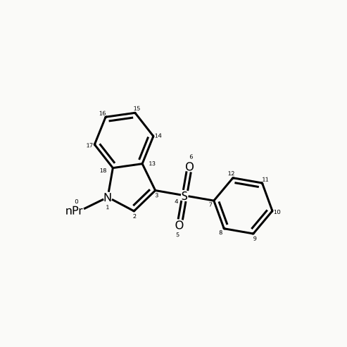 C[CH]Cn1cc(S(=O)(=O)c2ccccc2)c2ccccc21